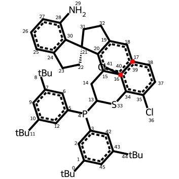 CC(C)(C)c1cc(P(c2cc(C(C)(C)C)cc(C(C)(C)C)c2)C(Cc2cccc3c2[C@]2(CCc4cccc(N)c42)CC3)Sc2c(Cl)cccc2Cl)cc(C(C)(C)C)c1